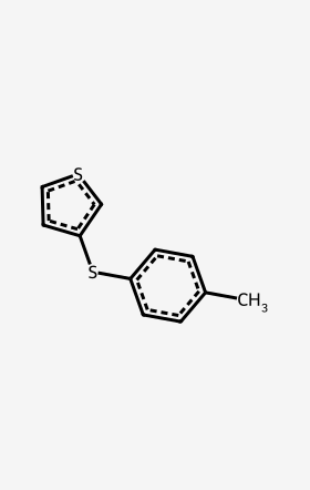 Cc1ccc(Sc2ccsc2)cc1